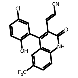 N#C/C=C/c1c(-c2cc(Cl)ccc2O)c2cc(C(F)(F)F)ccc2[nH]c1=O